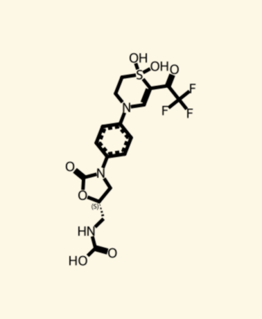 O=C(O)NC[C@H]1CN(c2ccc(N3C=C(C(=O)C(F)(F)F)S(O)(O)CC3)cc2)C(=O)O1